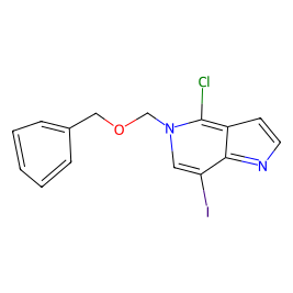 Clc1c2ccnc-2c(I)cn1COCc1ccccc1